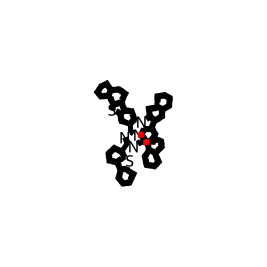 c1ccc2cc3c(cc2c1)c1ccccc1n3-c1cc2c(cc1-c1nc(-c3cccc4ccccc34)nc(-c3cccc4c3sc3ccccc34)n1)sc1c3ccccc3ccc21